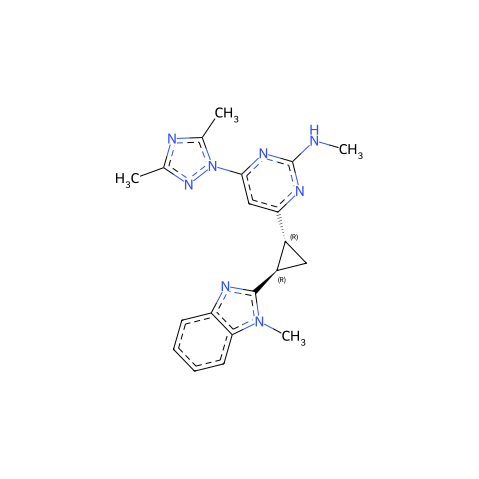 CNc1nc([C@@H]2C[C@H]2c2nc3ccccc3n2C)cc(-n2nc(C)nc2C)n1